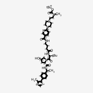 Cc1ncsc1-c1ccc([C@H](C)NC(=O)[C@@H]2C[C@@H](O)CN2C(=O)[C@@H](NC(=O)CCCNC(=O)c2ccc(N3CCN(CCN(C)C(=O)OC(C)(C)C)CC3)nc2)C(C)(C)C)cc1